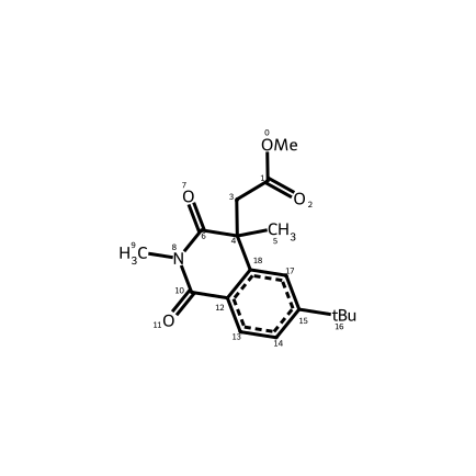 COC(=O)CC1(C)C(=O)N(C)C(=O)c2ccc(C(C)(C)C)cc21